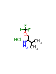 CC(C)C(N)COC(F)(F)F.Cl